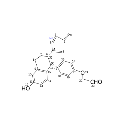 C=C/C=C\C(=C)[C@H]1CCc2cc(O)ccc2[C@H]1c1ccc(OCC=O)cc1